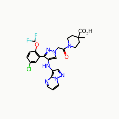 CC1(C(=O)O)CCN(C(=O)Cn2cc(Nc3cnn4cccnc34)c(-c3cc(Cl)ccc3OC(F)F)n2)CC1